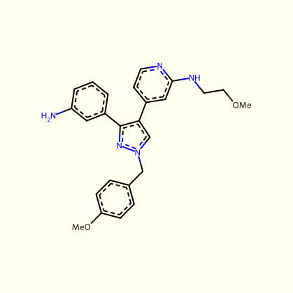 COCCNc1cc(-c2cn(Cc3ccc(OC)cc3)nc2-c2cccc(N)c2)ccn1